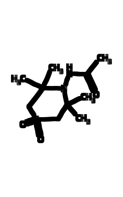 CC(=O)NN1C(C)(C)CS(=O)(=O)CC1(C)C